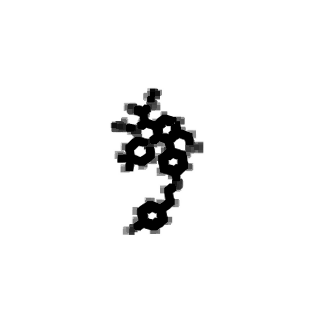 CC(C)OC(=O)C(OC(C)(C)C)c1cnc(CO)c(-c2ccc(OCCc3ccc(F)cc3)cc2)c1N1CCC(C)(C)CC1